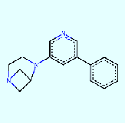 c1ccc(-c2cncc(N3CCN4CC3C4)c2)cc1